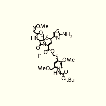 COCc1cc(SCOC(=O)C2=CC(c3csc(N)n3)S[C@H]3C(NC(=O)/C=N\OC)C(=O)N23)c(OC)c[n+]1NC(=O)OC(C)(C)C.[I-]